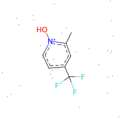 Cc1cc(C(F)(F)F)cc[n+]1O